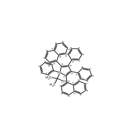 CC(C)(C)[Si]1(c2ccccc2)C(c2cccc3ccccc23)=C(c2ccccc2)C(c2ccccc2)=C1c1cccc2ccccc12